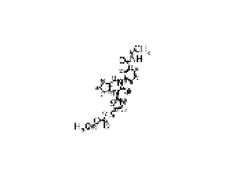 CCNC(=O)c1cccc(N(CC2CCCC2)C(=O)Nc2ncc(SCC(=O)OCC)s2)c1